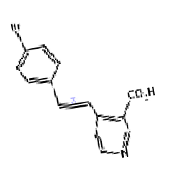 O=C(O)c1cnccc1/C=C/c1ccc(Br)cc1